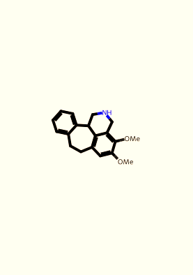 COc1cc2c3c(c1OC)CNCC3c1ccccc1CC2